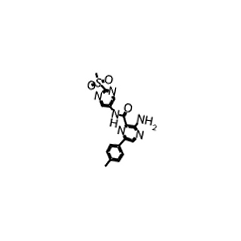 Cc1ccc(-c2cnc(N)c(C(=O)Nc3cnc(S(C)(=O)=O)nc3)n2)cc1